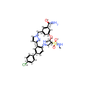 CNS(=O)(=O)CCNc1ccc(-c2ccc(Cl)cc2)cc1-c1ccn(Cc2cc(OC(C)C)cc(C(N)=O)c2)n1